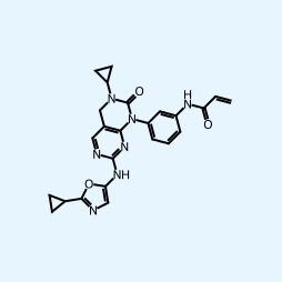 C=CC(=O)Nc1cccc(N2C(=O)N(C3CC3)Cc3cnc(Nc4cnc(C5CC5)o4)nc32)c1